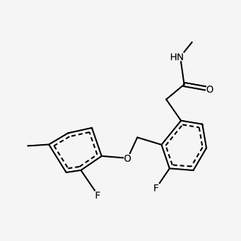 CNC(=O)Cc1cccc(F)c1COc1ccc(C)cc1F